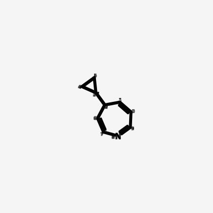 C1=CC([C]2CC2)C=CN=C1